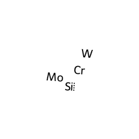 [Cr].[Mo].[Si].[W]